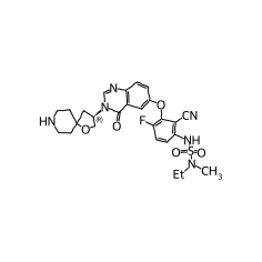 CCN(C)S(=O)(=O)Nc1ccc(F)c(Oc2ccc3ncn([C@H]4COC5(CCNCC5)C4)c(=O)c3c2)c1C#N